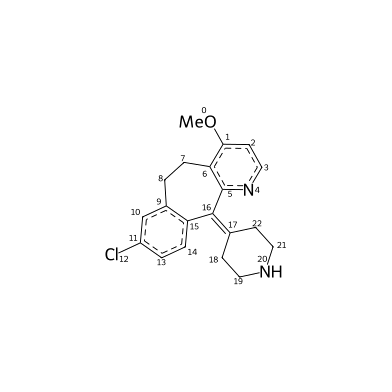 COc1ccnc2c1CCc1cc(Cl)ccc1C2=C1CCNCC1